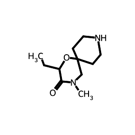 CCC1OC2(CCNCC2)CN(C)C1=O